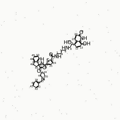 O=C(NCCCCNCC(O)c1ccc(O)c2[nH]c(=O)ccc12)c1ccc(CNC2(C(=O)O[C@@H]3CCN(Cc4ccccc4)C3)CCc3ccccc32)s1